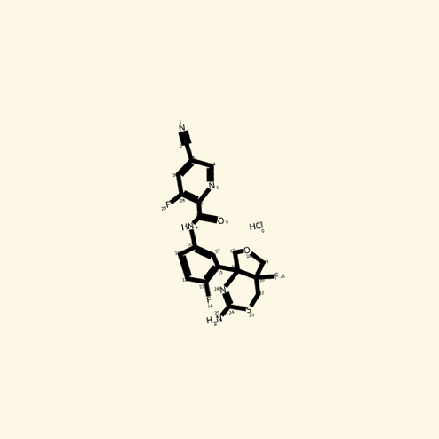 Cl.N#Cc1cnc(C(=O)Nc2ccc(F)c(C34COCC3(F)CSC(N)=N4)c2)c(F)c1